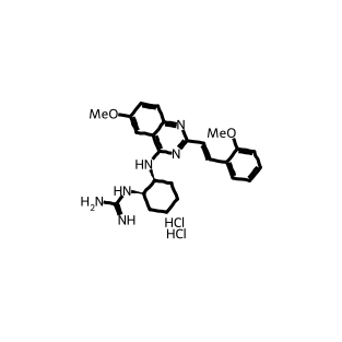 COc1ccc2nc(C=Cc3ccccc3OC)nc(N[C@H]3CCCC[C@H]3NC(=N)N)c2c1.Cl.Cl